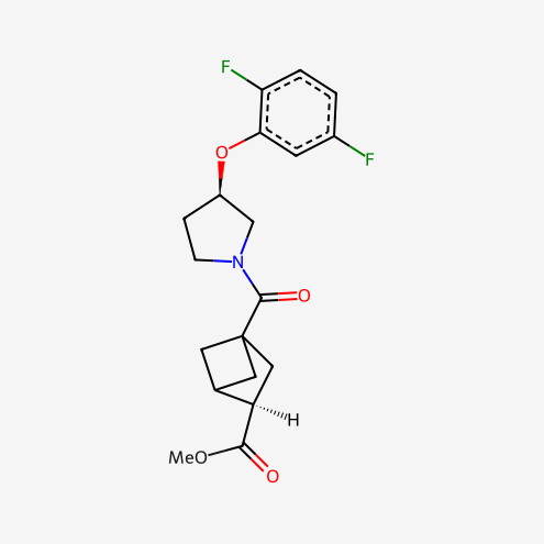 COC(=O)[C@@H]1CC2(C(=O)N3CC[C@@H](Oc4cc(F)ccc4F)C3)CC1C2